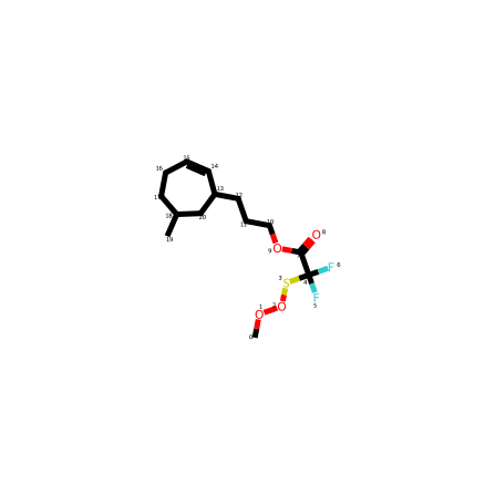 COOSC(F)(F)C(=O)OCCCC1C=CCCC(C)C1